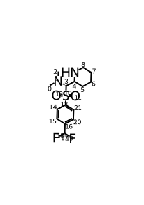 CN(C)[C@H](C1CCCCN1)S(=O)(=O)c1ccc(C(F)F)cc1